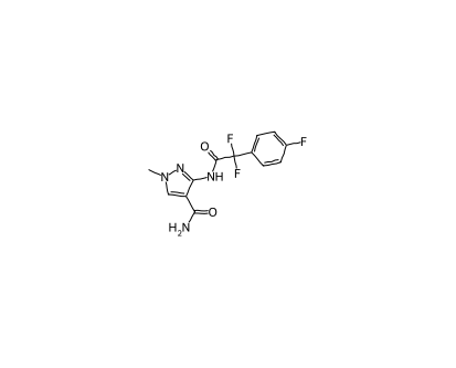 Cn1cc(C(N)=O)c(NC(=O)C(F)(F)c2ccc(F)cc2)n1